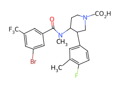 Cc1cc(C2CN(C(=O)O)CCC2N(C)C(=O)c2cc(Br)cc(C(F)(F)F)c2)ccc1F